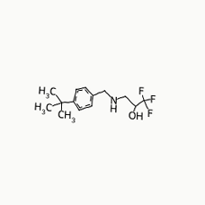 CC(C)(C)c1ccc(CNCC(O)C(F)(F)F)cc1